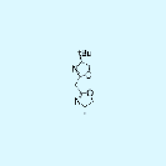 C[C@H]1COC(CC2=N[C@@H](C(C)(C)C)CO2)=N1